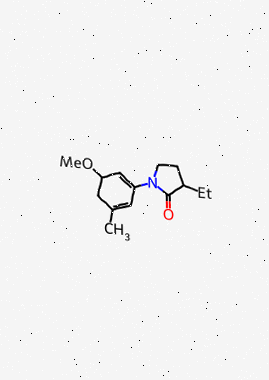 CCC1CCN(C2=CC(OC)CC(C)=C2)C1=O